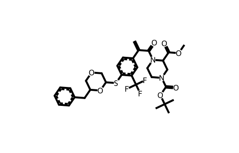 C=C(C(=O)N1CCN(C(=O)OC(C)(C)C)CC1C(=O)OC)c1ccc(SC2COCC(Cc3ccccc3)O2)c(C(F)(F)F)c1